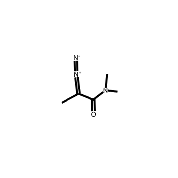 CC(=[N+]=[N-])C(=O)N(C)C